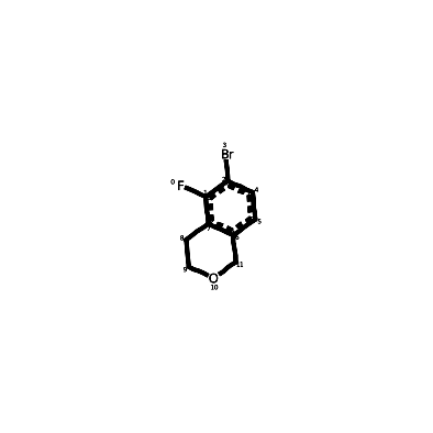 Fc1c(Br)ccc2c1CCOC2